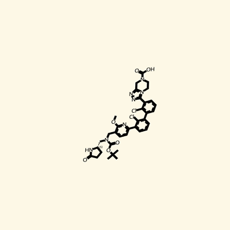 COc1nc(-c2cccc(-c3cccc(-c4nnc5n4CCN(C(=O)O)C5)c3Cl)c2Cl)ccc1CN(C[C@@H]1CCC(=O)N1)C(=O)OC(C)(C)C